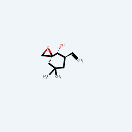 C=C[C@H]1CC(C)(C)C[C@@]2(CO2)[C@@H]1O